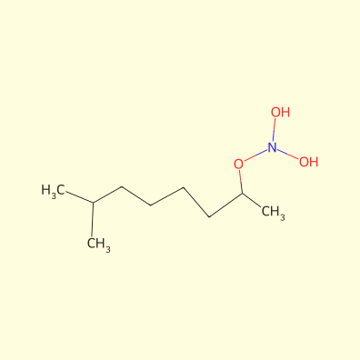 CC(C)CCCCC(C)ON(O)O